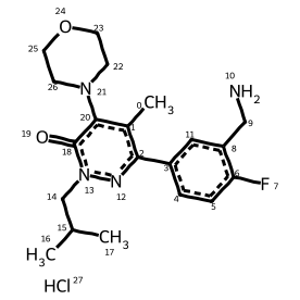 Cc1c(-c2ccc(F)c(CN)c2)nn(CC(C)C)c(=O)c1N1CCOCC1.Cl